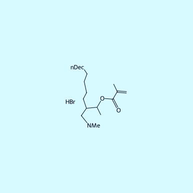 Br.C=C(C)C(=O)OC(C)C(CCCCCCCCCCCCCC)CNC